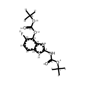 CC(C)(C)OC(=O)Nc1nc2c(OC(=O)OC(C)(C)C)c(F)ccc2s1